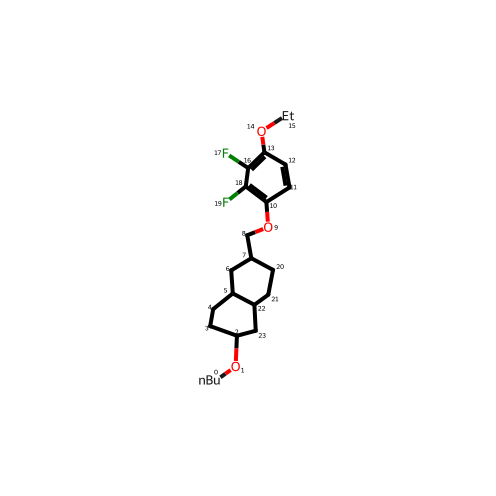 CCCCOC1CCC2CC(COc3ccc(OCC)c(F)c3F)CCC2C1